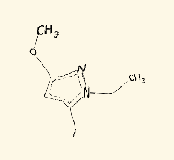 CCn1nc(OC)cc1I